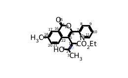 CCOC(=O)/C(=C(\C)O)c1c(-c2ccccn2)oc(=O)c2cc(C)ccc12